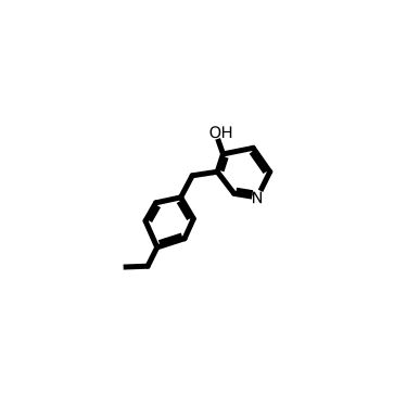 CCc1ccc(Cc2cnccc2O)cc1